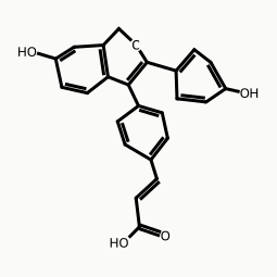 O=C(O)C=Cc1ccc(C2=C(c3ccc(O)cc3)CCc3cc(O)ccc32)cc1